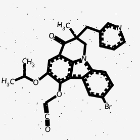 CC(C)Oc1cc2c3c(c1OC=C=O)c1cc(Br)ccc1n3CC(C)(Cc1cccnc1)C2=O